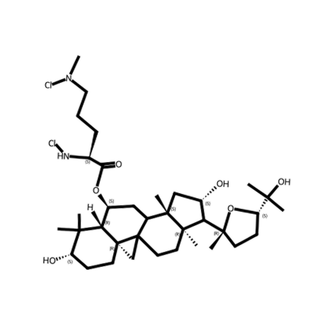 CN(Cl)CCC[C@H](NCl)C(=O)O[C@H]1CC2C3(CC[C@]4(C)C([C@@]5(C)CC[C@@H](C(C)(C)O)O5)[C@@H](O)C[C@@]24C)C[C@@]32CC[C@H](O)C(C)(C)[C@H]12